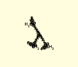 C=C(C(=O)OCCCCCCCOCC(COCCCCCCCOC(=O)C(=C)c1ccc(F)cc1)OCCCCCCCOC(=O)C(=C)c1ccc(F)cc1)c1ccc(F)cc1